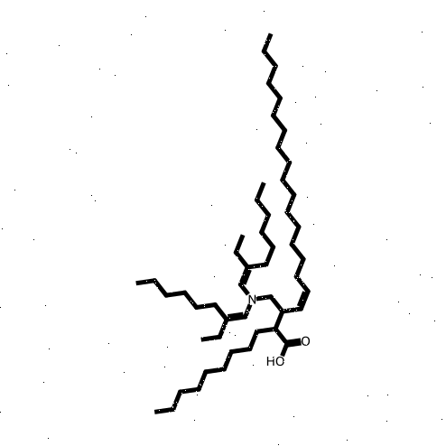 CCCCCCCCCCCCCCCC/C=C\C(CN(/C=C(/CC)CCCCCC)/C=C(/CC)CCCCCC)C(CCCCCCCCC)C(=O)O